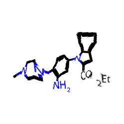 CCOC(=O)c1cc2ccccc2n1-c1ccc(N2CCN(C)CC2)c(N)c1